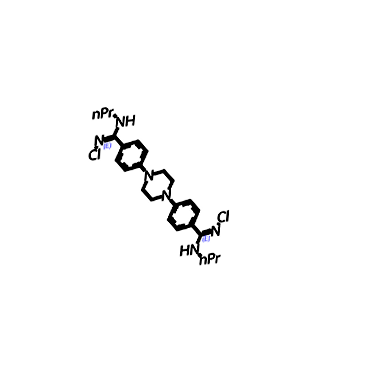 CCCN/C(=N/Cl)c1ccc(N2CCN(c3ccc(/C(=N\Cl)NCCC)cc3)CC2)cc1